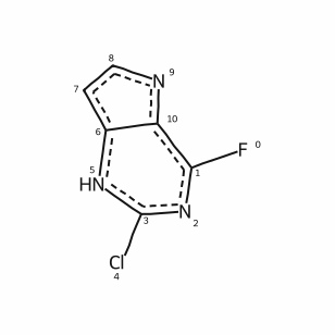 Fc1nc(Cl)[nH]c2ccnc1-2